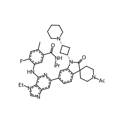 CCn1cnc2cc(-c3ccc4c(c3)N([C@H]3C[C@@H](N5CCCCC5)C3)C(=O)C43CCN(C(C)=O)CC3)nc(Nc3cc(C(=O)NC(C)C)c(C)cc3F)c21